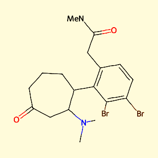 CNC(=O)Cc1ccc(Br)c(Br)c1C1CCCC(=O)CC1N(C)C